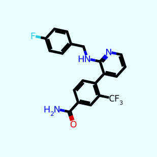 NC(=O)c1ccc(-c2cccnc2NCc2ccc(F)cc2)c(C(F)(F)F)c1